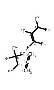 C=C=C.FC(F)=C(F)C(F)F.FCC(F)(F)F